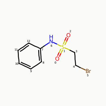 O=S(=O)(CCBr)Nc1ccccc1